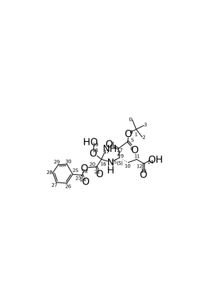 CC(C)(C)OC(=O)C(=O)[C@H](CCC(=O)O)NC(N)(OO)C(=O)OC(=O)c1ccccc1